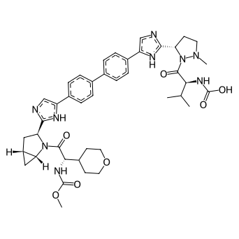 COC(=O)N[C@H](C(=O)N1[C@@H]2C[C@@H]2C[C@H]1c1ncc(-c2ccc(-c3ccc(-c4cnc([C@@H]5CCN(C)N5C(=O)[C@@H](NC(=O)O)C(C)C)[nH]4)cc3)cc2)[nH]1)C1CCOCC1